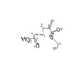 C=C(CC=CC(=O)O)C(=O)OCC